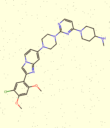 CNC1CCN(c2ccnc(N3CCN(c4ccn5cc(-c6cc(Cl)c(OC)cc6OC)nc5c4)CC3)n2)CC1